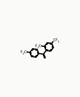 C=C(c1ccc(C(F)(F)F)cc1)c1ccc(C(F)(F)F)cc1C(F)(F)F